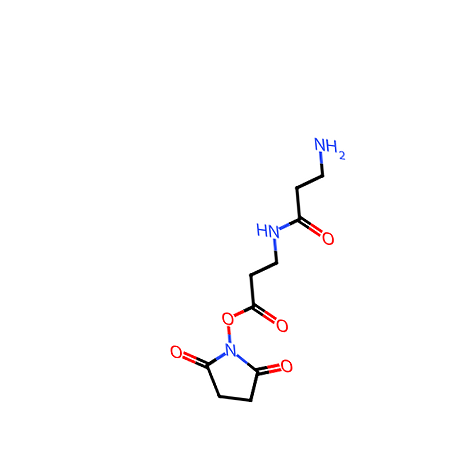 NCCC(=O)NCCC(=O)ON1C(=O)CCC1=O